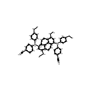 CCc1ccc(N(c2ccc(C#N)cc2)c2cc(CC)c3ccc4c(N(c5ccc(C#N)cc5)c5ccc(CC)cc5)cc(CC)c5ccc2c3c54)cc1